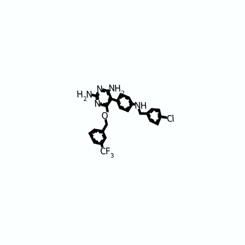 Nc1nc(N)c(-c2ccc(NCc3ccc(Cl)cc3)cc2)c(COCc2cccc(C(F)(F)F)c2)n1